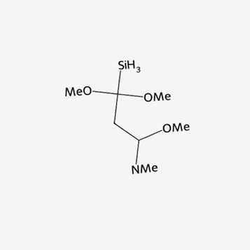 CNC(CC([SiH3])(OC)OC)OC